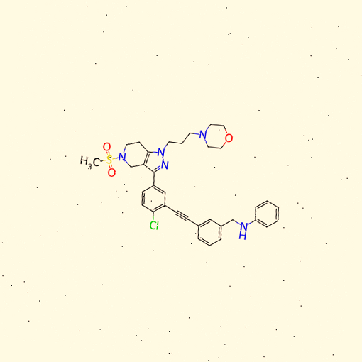 CS(=O)(=O)N1CCc2c(c(-c3ccc(Cl)c(C#Cc4cccc(CNc5ccccc5)c4)c3)nn2CCCN2CCOCC2)C1